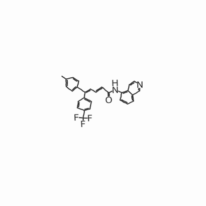 Cc1ccc(C(=CC=CC(=O)Nc2cccc3cnccc23)c2ccc(C(F)(F)F)cc2)cc1